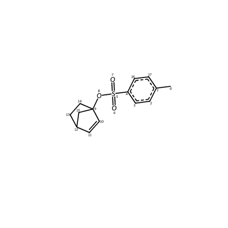 Cc1ccc(S(=O)(=O)OC23C=CC(CC2)C3)cc1